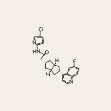 O=C(C[C@@H]1C[C@@H]2C[C@H](c3ccnc4ccc(F)cc34)C[C@@H]2C1)Nc1ccc(Cl)cn1